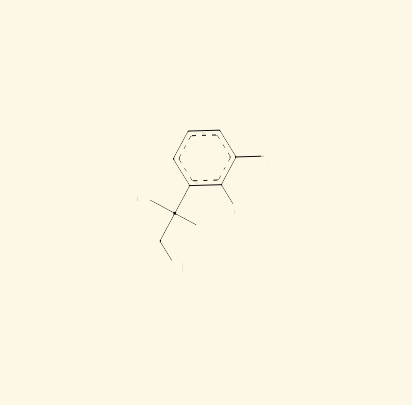 ClCC(Cl)(Cl)c1cccc(Cl)c1Cl